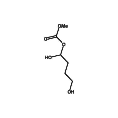 COC(=O)OC(O)CCCO